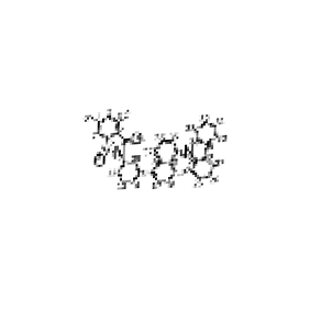 Cc1cc(C)c2c(c1)C(=O)N(c1cccc(-c3cccc4c(-n5c6ccccc6c6ccccc65)cccc34)c1)C2=O